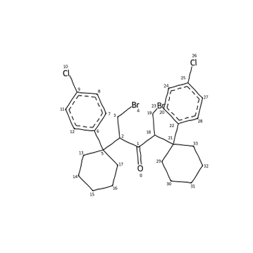 O=C(C(CBr)C1(c2ccc(Cl)cc2)CCCCC1)C(CBr)C1(c2ccc(Cl)cc2)CCCCC1